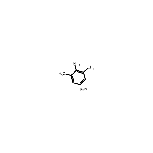 Cc1cccc(C)c1N.[Fe+2]